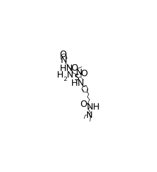 CCN(CC)CCNC(=O)CCCc1ccc(NC[C@H]2SC([C@H](N)C(=O)NCCN3CCOCC3)N(CC)C2=O)cc1